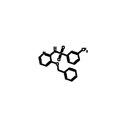 O=S(=O)(Nc1ncccc1OCc1ccccc1)c1cccc(C(F)(F)F)c1